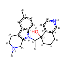 Cc1ccc2c(c1)c1c(n2C(C)C2(O)CCCc3cnccc32)CN(C)CC1